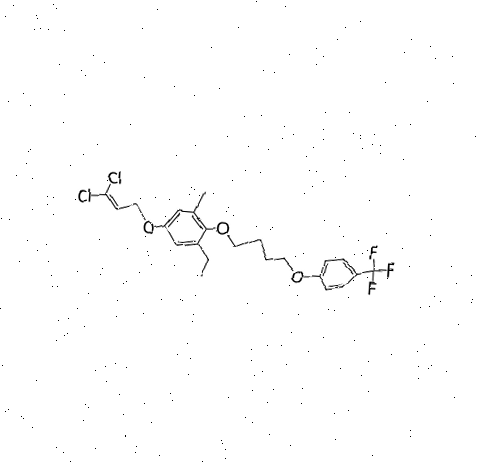 CCc1cc(OCC=C(Cl)Cl)cc(C)c1OCCCCOc1ccc(C(F)(F)F)cc1